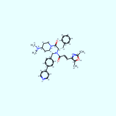 Cc1nc(/C=C/C(=O)N(Cc2ccc(-c3ccncc3)cc2)[C@@H](Cc2ccccc2)C(=O)N2CCC(N(C)C)CC2)c(C)o1